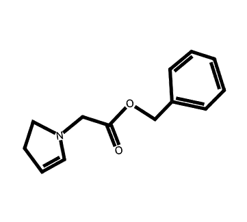 O=C(CN1C=CCC1)OCc1ccccc1